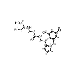 CC(C)CC(NCCC(=O)OCCc1cncn1Cc1cc(Cl)cc(Cl)c1)C(=O)O